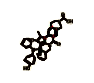 Cc1c(Cl)c(C(=O)N(c2ccccc2)c2ccc(O)cc2)nn1-c1cc2c(cc1C(=O)N1Cc3ccccc3C[C@H]1CN1CCOCC1)CN(C(=O)O)CC2